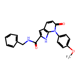 O=C(NCc1ccccc1)c1cc2ccc(=O)n(-c3ccc(OC(F)(F)F)cc3)c2[nH]1